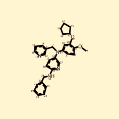 COc1ccc(N(Cc2cccnc2)c2ccc(NCc3ccccc3)nc2)cc1OC1CCCC1